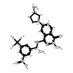 C[C@@H](Nc1nn(C)c(=O)c2cnc(N3CC[C@@H](N)C3)cc12)c1cc([N+](=O)[O-])cc(C(F)(F)F)c1